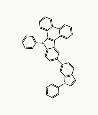 c1ccc(-n2ccc3ccc(-c4ccc5c(c4)c4c6ccccc6c6ccccc6c4n5-c4ccccc4)cc32)cc1